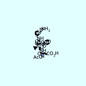 CC(=O)O/N=C(/CCC(=O)O)C(=O)NCCN(C(=O)[C@H](CC(=O)NC[C@@H]1CCCN(C=NN)C1)NS(=O)(=O)N1CCOCC1)C1CC1